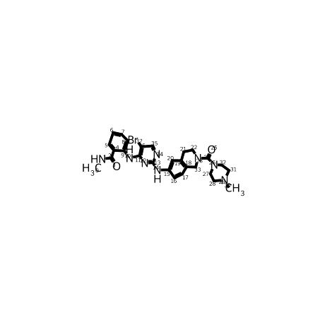 CNC(=O)c1ccccc1Nc1nc(Nc2ccc3c(c2)CCN(C(=O)N2CCN(C)CC2)C3)ncc1Br